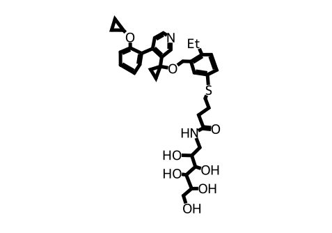 CCc1ccc(SCCCC(=O)NCC(O)C(O)C(O)C(O)CO)cc1COC1(c2cnccc2-c2ccccc2OC2CC2)CC1